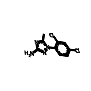 Cc1nc(N)nn1-c1ccc(Cl)cc1Cl